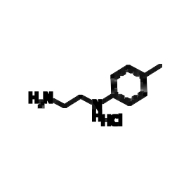 Cc1ccc(NCCN)cc1.Cl